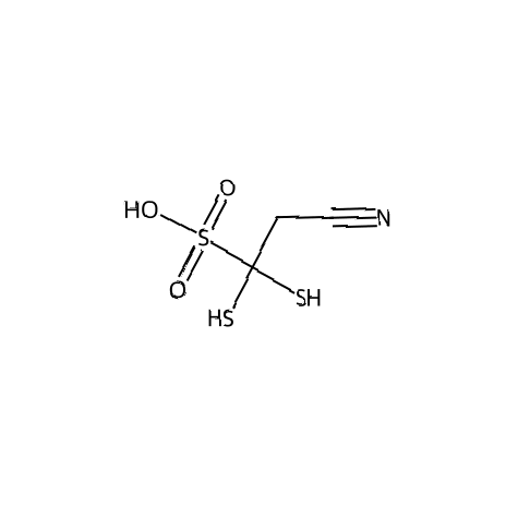 N#CCC(S)(S)S(=O)(=O)O